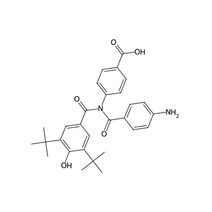 CC(C)(C)c1cc(C(=O)N(C(=O)c2ccc(N)cc2)c2ccc(C(=O)O)cc2)cc(C(C)(C)C)c1O